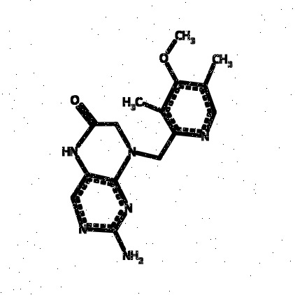 COc1c(C)cnc(CN2CC(=O)Nc3cnc(N)nc32)c1C